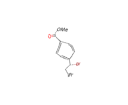 COC(=O)c1ccc(C(Br)CC(C)C)cc1